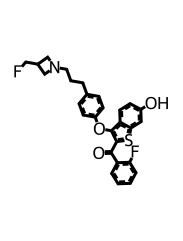 O=C(c1ccccc1F)c1sc2cc(O)ccc2c1Oc1ccc(CCCN2CC(CF)C2)cc1